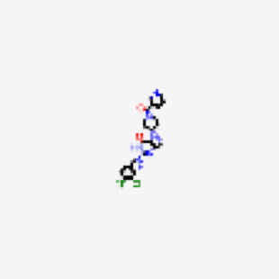 O=C(c1cccnc1)N1CCC(n2ncc3nc(NCc4ccc(Cl)c(Cl)c4)[nH]c(=O)c32)CC1